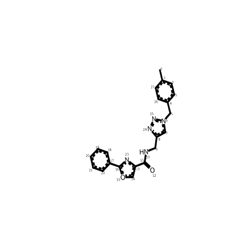 Cc1ccc(Cn2cc(CNC(=O)c3coc(-c4ccccc4)n3)nn2)cc1